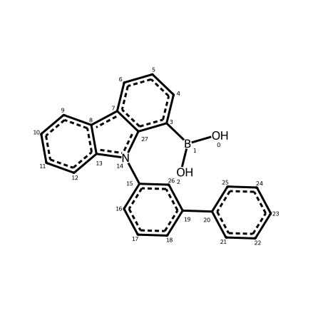 OB(O)c1cccc2c3ccccc3n(-c3cccc(-c4ccccc4)c3)c12